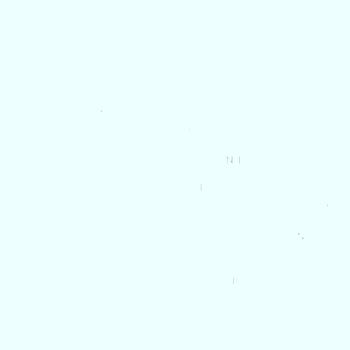 CCC(Nc1ccc(C(=O)N(C)CCC(=O)O)cc1)c1oc2ccc(OCc3ccccc3)cc2c1C